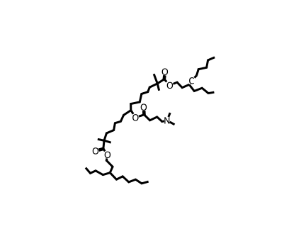 CCCCCCC(CCCC)CCOC(=O)C(C)(C)CCCCCC(CCCCCC(C)(C)C(=O)OCCC(CCCC)CCCCCC)OC(=O)CCCN(C)C